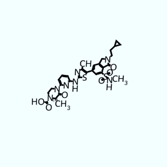 CNS(=O)(=O)c1cc(-c2sc(Nc3cccc(N4CCN(C(=O)O)[C@@H](C)C4=O)n3)nc2C)cc2c1C(=O)N(CCC1CC1)C2